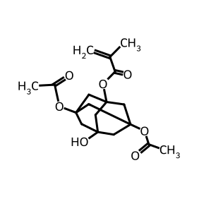 C=C(C)C(=O)OC12CC3(O)CC(OC(C)=O)(CC(OC(C)=O)(C3)C1)C2